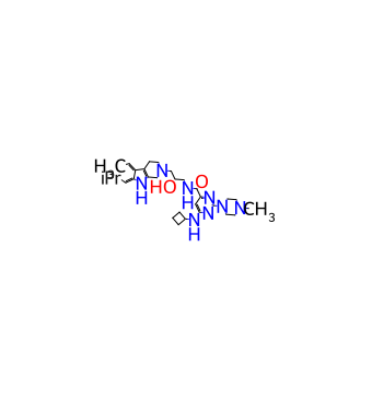 C/C=c1/c2c([nH]/c1=C/C(C)C)CN(CC(O)CNC(=O)c1cc(NC3CCC3)nc(N3CCN(C)CC3)n1)CC2